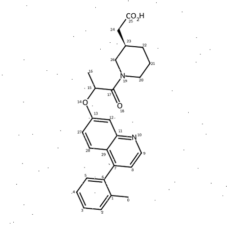 Cc1ccccc1-c1ccnc2cc(OC(C)C(=O)N3CCC[C@H](CC(=O)O)C3)ccc12